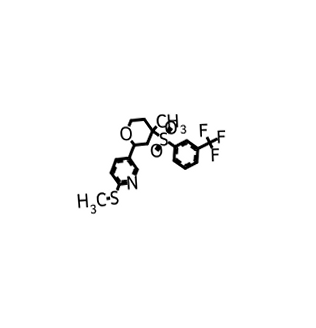 CSc1ccc(C2CC(C)(S(=O)(=O)c3cccc(C(F)(F)F)c3)CCO2)cn1